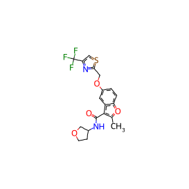 Cc1oc2ccc(OCc3nc(C(F)(F)F)cs3)cc2c1C(=O)NC1CCOC1